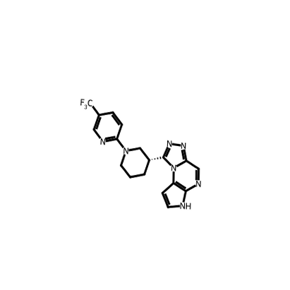 FC(F)(F)c1ccc(N2CCC[C@@H](c3nnc4cnc5[nH]ccc5n34)C2)nc1